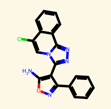 Nc1onc(-c2ccccc2)c1-c1nnc2c3ccccc3c(Cl)cn12